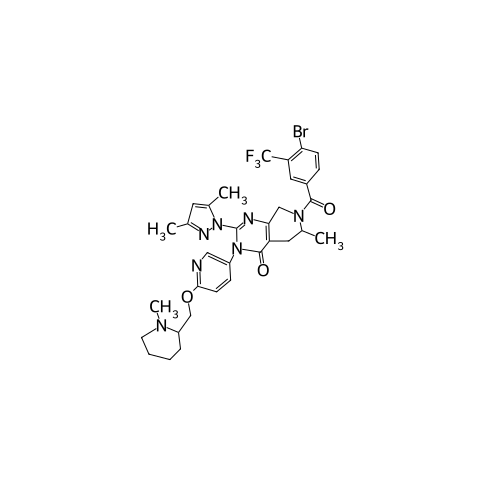 Cc1cc(C)n(-c2nc3c(c(=O)n2-c2ccc(OCC4CCCCN4C)nc2)CC(C)N(C(=O)c2ccc(Br)c(C(F)(F)F)c2)C3)n1